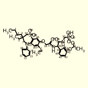 CCCCC1(CC)CN(c2ccccc2)c2cc(SC)c(OCC(=O)NC(C(=O)NCP(=O)(O)OO[C@H](C)O)c3ccccc3)cc2S(=O)(=O)C1